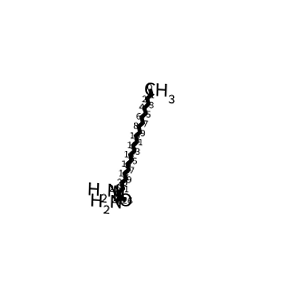 CCCCCCCCCCCCCCCCCCCCCCN(N)C(N)=O